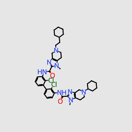 Cn1c(C(=O)Nc2cccc(-c3cccc(NC(=O)c4nc5c(n4C)CCN(C4CCCCC4)C5)c3Cl)c2Cl)nc2c1CCN(CCC1CCCCC1)C2